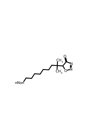 CCCCCCCCCCCCCCCCC(C)(C)C1ON=NC1=O